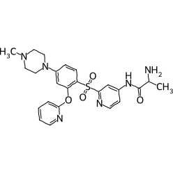 CC(N)C(=O)Nc1ccnc(S(=O)(=O)c2ccc(N3CCN(C)CC3)cc2Oc2ccccn2)c1